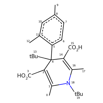 CC1=C(C(=O)O)C(c2ccc(C)cc2C)(C(C)(C)C)C(C(=O)O)=C(C)N1C(C)(C)C